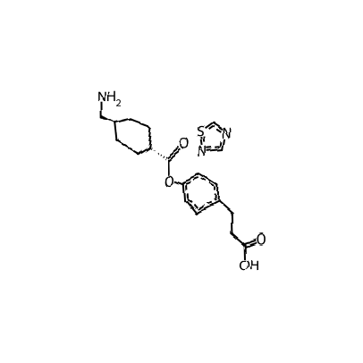 NC[C@H]1CC[C@H](C(=O)Oc2ccc(CCC(=O)O)cc2)CC1.c1ncsn1